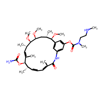 CNCCN(C)C(=O)Oc1cc2cc(c1)[C@H](OC)[C@@H](C)C[C@H](OC)[C@H](OC)[C@@H](C)/C=C(\C)[C@H](OC(N)=O)[C@@H](C)/C=C\C=C(/C)C(=O)N2